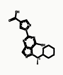 C[C@@H](C1CCCCC1)n1ncc2nc(-n3cc(C(=O)O)cn3)nc(O)c21